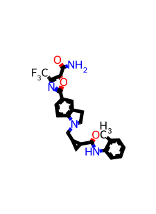 Cc1ccccc1NC(=O)C1CC1CN1CCc2cc(-c3nc(C(F)(F)F)c(C(N)=O)o3)ccc21